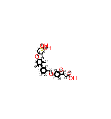 Cc1cc(OC2CCS(O)(O)CC2)cc(C)c1-c1cccc(COc2ccc3c(c2)OC[C@H]3CC(=O)O)c1